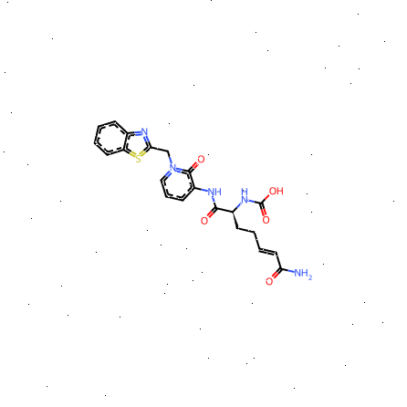 NC(=O)/C=C/CC[C@H](NC(=O)O)C(=O)Nc1cccn(Cc2nc3ccccc3s2)c1=O